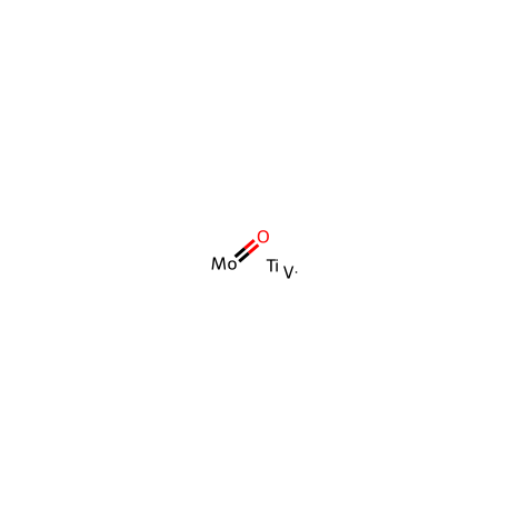 [O]=[Mo].[Ti].[V]